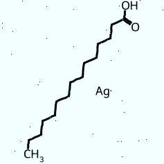 CCCCCCCCCCCCCCC(=O)O.[Ag]